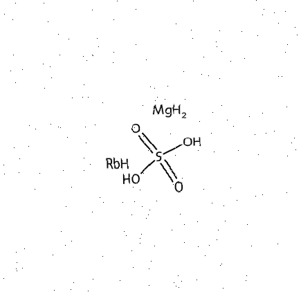 O=S(=O)(O)O.[MgH2].[RbH]